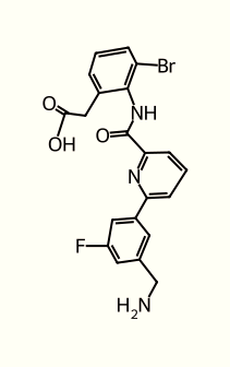 NCc1cc(F)cc(-c2cccc(C(=O)Nc3c(Br)cccc3CC(=O)O)n2)c1